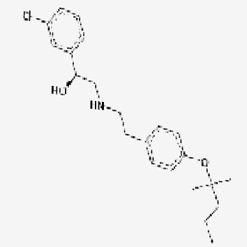 CCCC(C)(C)Oc1ccc(CCNC[C@@H](O)c2cccc(Cl)c2)cc1